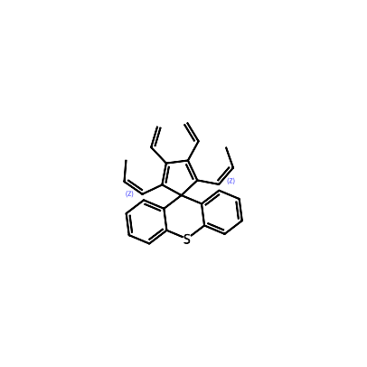 C=CC1=C(/C=C\C)C2(C(/C=C\C)=C1C=C)c1ccccc1Sc1ccccc12